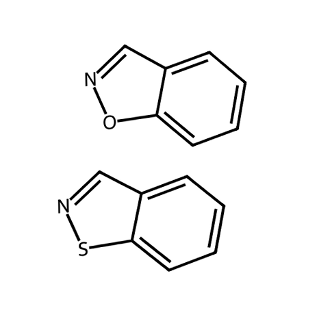 c1ccc2oncc2c1.c1ccc2sncc2c1